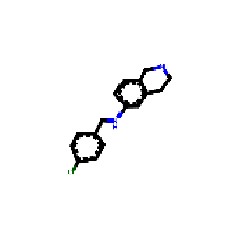 Clc1ccc(CNc2ccc3c(c2)CCNC3)cc1